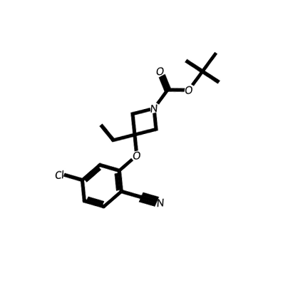 CCC1(Oc2cc(Cl)ccc2C#N)CN(C(=O)OC(C)(C)C)C1